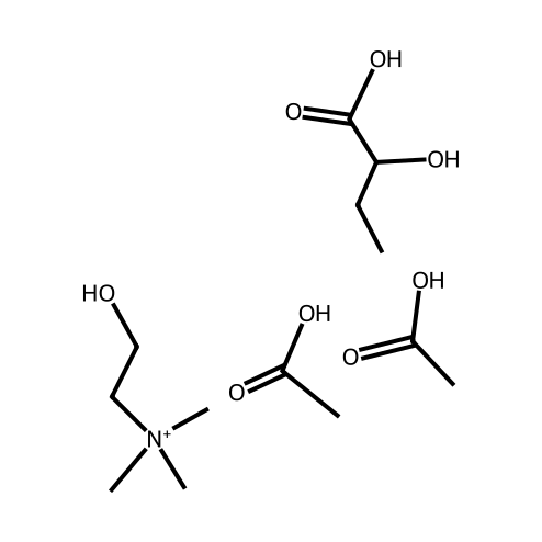 CC(=O)O.CC(=O)O.CCC(O)C(=O)O.C[N+](C)(C)CCO